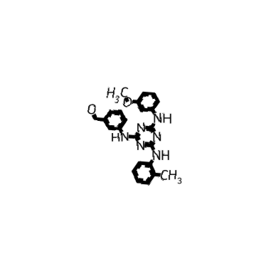 COc1cccc(Nc2nc(Nc3cccc(C=O)c3)nc(Nc3ccccc3C)n2)c1